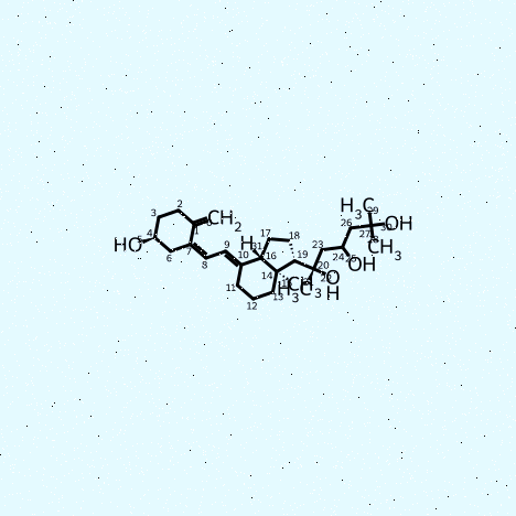 C=C1CC[C@H](O)C/C1=C/C=C1\CCC[C@@]2(C)[C@H]1CC[C@@H]2[C@@](C)(O)CC(O)CC(C)(C)O